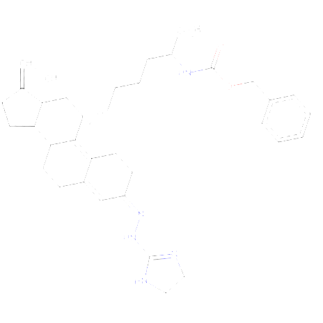 C=C1CCC2C3CCC4=CC(=NNC5=NCCN5)CCC4=C3[C@@H](CCCCC(NC(=O)OCc3ccccc3)C(=O)O)C[C@]12C